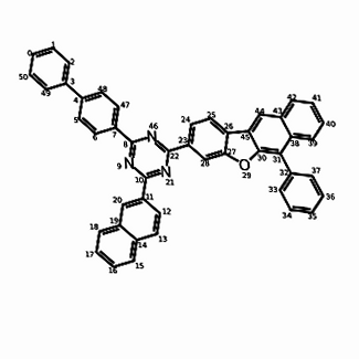 c1ccc(-c2ccc(-c3nc(-c4ccc5ccccc5c4)nc(-c4ccc5c(c4)oc4c(-c6ccccc6)c6ccccc6cc45)n3)cc2)cc1